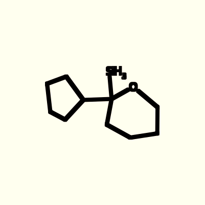 [SiH3]C1(C2CCCC2)CCCCO1